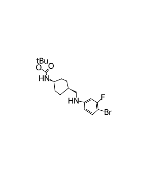 CC(C)(C)OC(=O)N[C@H]1CC[C@@H](CNc2ccc(Br)c(F)c2)CC1